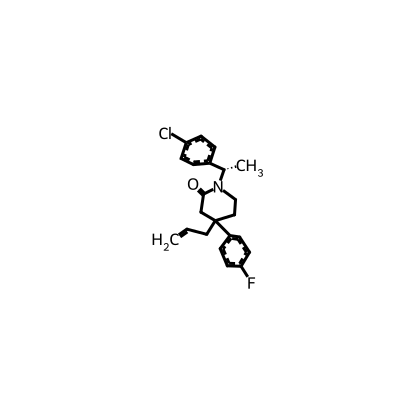 C=CCC1(c2ccc(F)cc2)CCN([C@@H](C)c2ccc(Cl)cc2)C(=O)C1